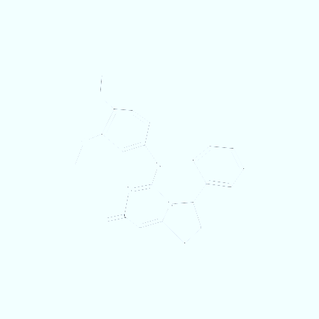 COc1ccc(Nc2nc(=O)cc3n2C(c2ccccc2)CC3)cc1OC